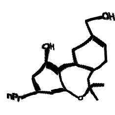 CCCc1cc(O)c2c(c1)OC(C)(C)C1CC=C(CO)CC21